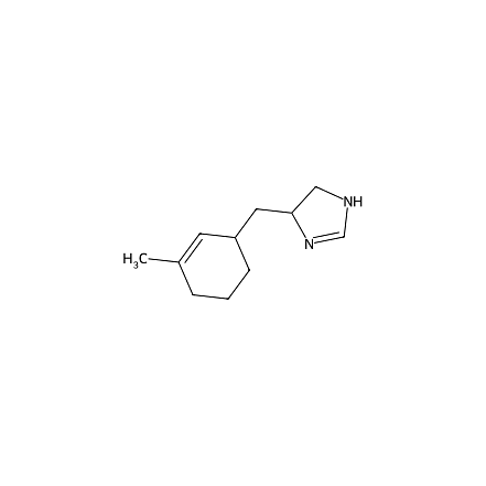 CC1=CC(CC2CNC=N2)CCC1